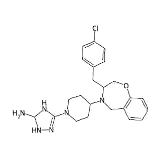 NC1NN=C(N2CCC(N3Cc4ccncc4OCC3Cc3ccc(Cl)cc3)CC2)N1